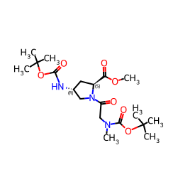 COC(=O)[C@@H]1C[C@@H](NC(=O)OC(C)(C)C)CN1C(=O)CN(C)C(=O)OC(C)(C)C